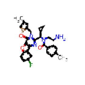 Cc1ccc(C(=O)N(CCN)[C@@H](c2nc3c(oc4ccc(F)cc43)c(=O)n2Cc2cc(C)cs2)C2CC2)cc1